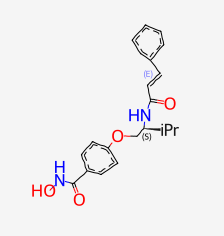 CC(C)[C@@H](COc1ccc(C(=O)NO)cc1)NC(=O)/C=C/c1ccccc1